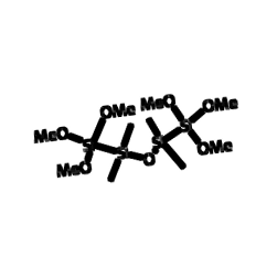 CO[Si](OC)(OC)[Si](C)(C)O[Si](C)(C)[Si](OC)(OC)OC